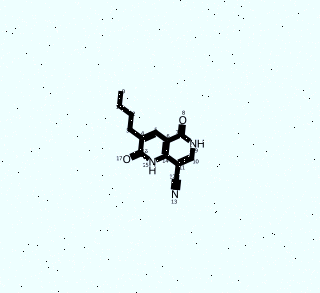 CCCCc1cc2c(=O)[nH]cc(C#N)c2[nH]c1=O